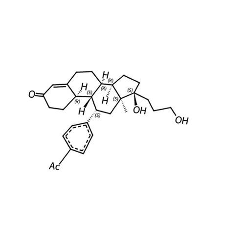 CC(=O)c1ccc([C@H]2C[C@@]3(C)[C@H](CC[C@]3(O)CCCO)[C@@H]3CCC4=CC(=O)CC[C@@H]4[C@H]32)cc1